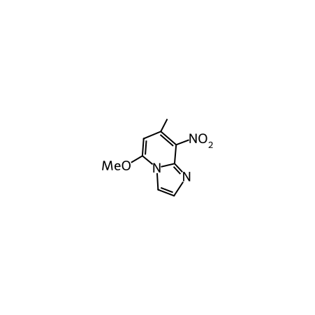 COc1cc(C)c([N+](=O)[O-])c2nccn12